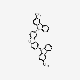 FC(F)(F)c1ccc2c(c1)c1ccccc1n2-c1ccc2oc3ccc(-n4c5ccccc5c5cc(C(F)(F)F)ccc54)cc3c2c1